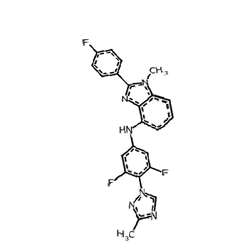 Cc1ncn(-c2c(F)cc(Nc3cccc4c3nc(-c3ccc(F)cc3)n4C)cc2F)n1